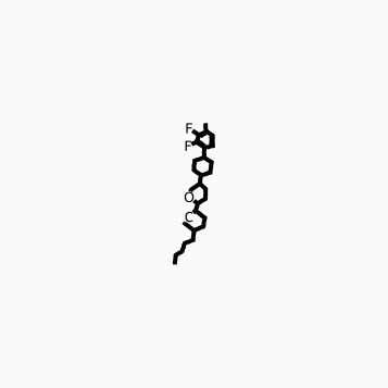 CCCCCC1CCC(C2CCC(C3CCC(c4ccc(C)c(F)c4F)CC3)CO2)CC1